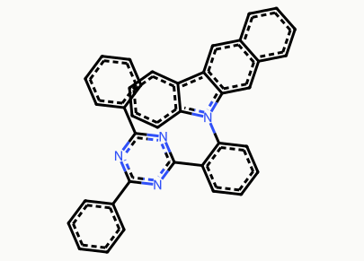 c1ccc(-c2nc(-c3ccccc3)nc(-c3ccccc3-n3c4ccccc4c4cc5ccccc5cc43)n2)cc1